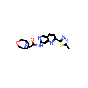 Cc1nnc(-c2ccc3cnc(NC(=O)CN4C5CCC4COC5)cc3n2)s1